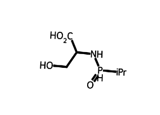 CC(C)[PH](=O)NC(CO)C(=O)O